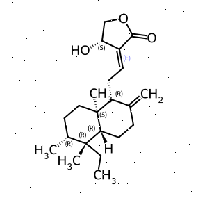 C=C1CC[C@@H]2[C@](C)(CC)[C@H](C)CC[C@@]2(C)[C@@H]1C/C=C1/C(=O)OC[C@H]1O